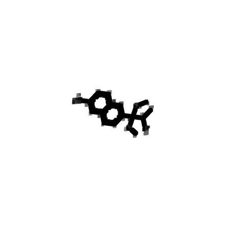 COC(OC)(c1ccc2cc(O)ccc2c1)C(C)Br